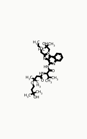 CCOCc1nc2c(NC(=O)C(NC(=O)CC(C)(C)OCCC(C)(C)O)C(C)C)nc3ccccc3c2n1CC(C)(C)O